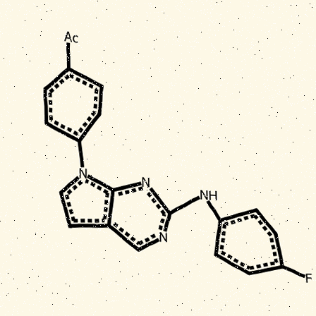 CC(=O)c1ccc(-n2ccc3cnc(Nc4ccc(F)cc4)nc32)cc1